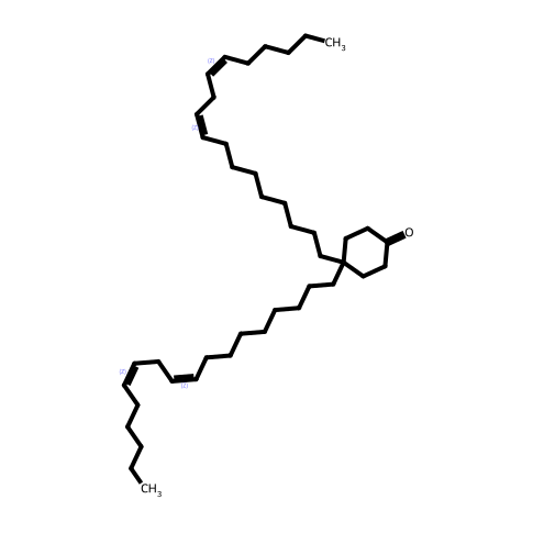 CCCCC/C=C\C/C=C\CCCCCCCCC1(CCCCCCCC/C=C\C/C=C\CCCCC)CCC(=O)CC1